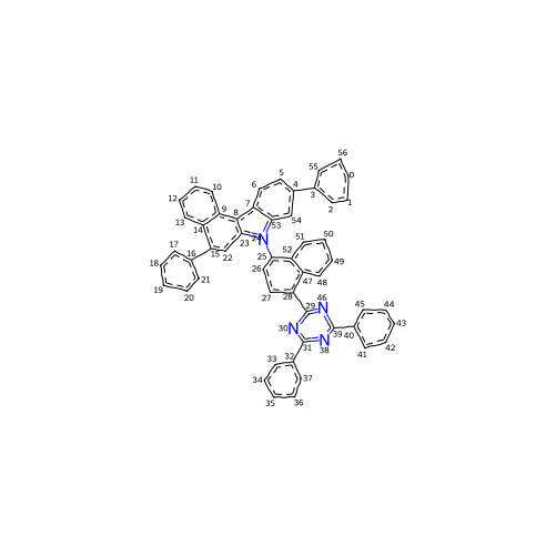 c1ccc(-c2ccc3c4c5ccccc5c(-c5ccccc5)cc4n(-c4ccc(-c5nc(-c6ccccc6)nc(-c6ccccc6)n5)c5ccccc45)c3c2)cc1